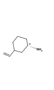 C=CC1CCC[C@H](N)C1